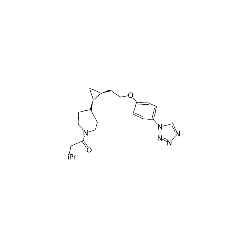 CC(C)CC(=O)N1CCC([C@H]2C[C@H]2CCOc2ccc(-n3cnnn3)cc2)CC1